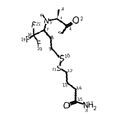 CC(=O)[C@H](C)N(C)C(CCSSCCCC(N)=O)C(F)(F)F